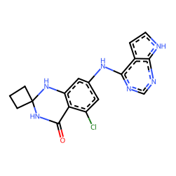 O=C1NC2(CCC2)Nc2cc(Nc3ncnc4[nH]ccc34)cc(Cl)c21